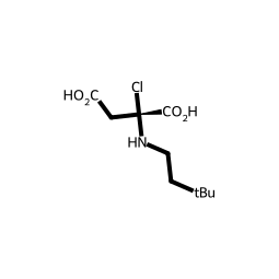 CC(C)(C)CCN[C@@](Cl)(CC(=O)O)C(=O)O